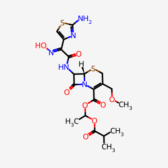 COCC1=C(C(=O)OC(C)OC(=O)C(C)C)N2C(=O)C(NC(=O)C(=NO)c3csc(N)n3)[C@@H]2SC1